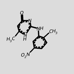 Cc1cc(=O)nc(Nc2cc([N+](=O)[O-])ccc2C)[nH]1